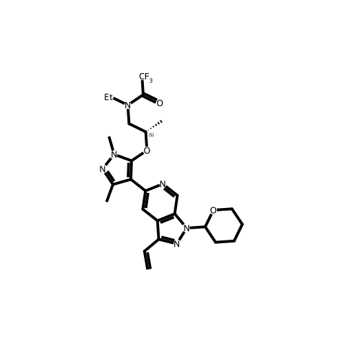 C=Cc1nn(C2CCCCO2)c2cnc(-c3c(C)nn(C)c3O[C@@H](C)CN(CC)C(=O)C(F)(F)F)cc12